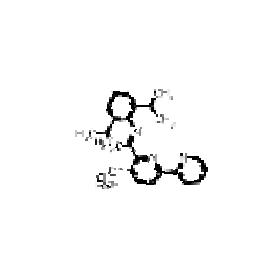 C/C(=N\c1c(C(C)C)cccc1C(C)C)c1cccc(-c2ccccn2)n1.[Cl-].[Cl-].[Fe+2]